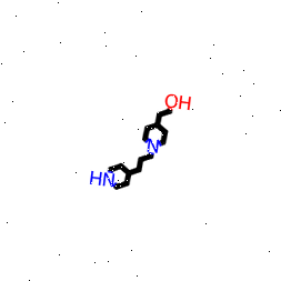 OCCC1CCN(CCCC2CCNCC2)CC1